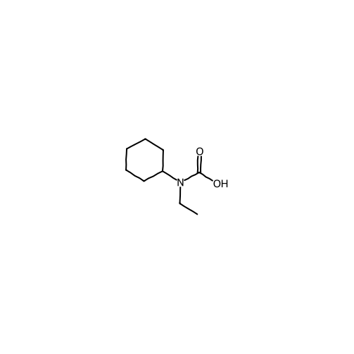 CCN(C(=O)O)C1CCCCC1